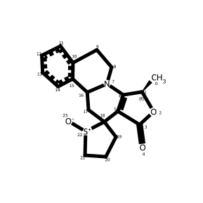 C[C@H]1OC(=O)C2=C1N1CCc3ccccc3C1CC21CCC[S+]1[O-]